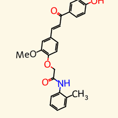 COc1cc(/C=C/C(=O)c2ccc(O)cc2)ccc1OCC(=O)Nc1ccccc1C